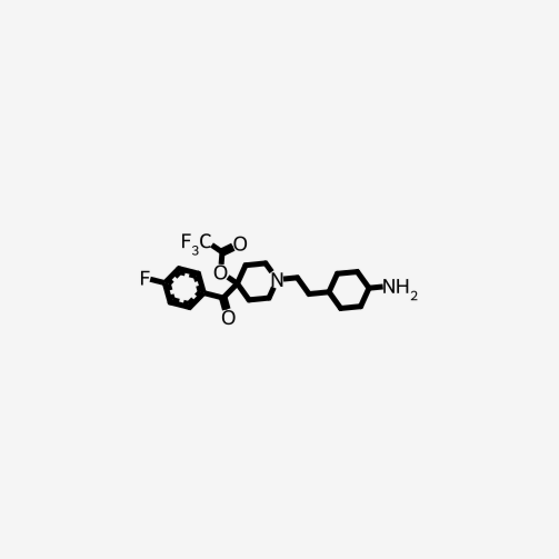 NC1CCC(CCN2CCC(OC(=O)C(F)(F)F)(C(=O)c3ccc(F)cc3)CC2)CC1